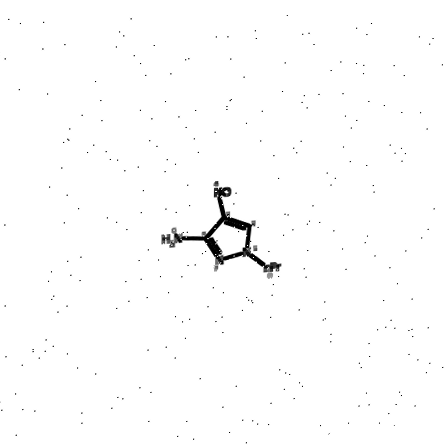 CCCn1cc(N=O)c(N)n1